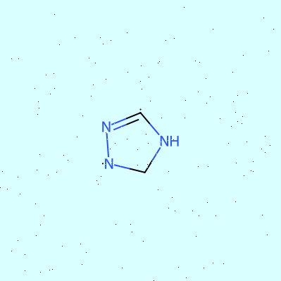 [C]1=N[N]CN1